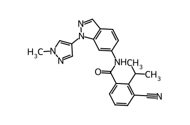 CC(C)c1c(C#N)cccc1C(=O)Nc1ccc2cnn(-c3cnn(C)c3)c2c1